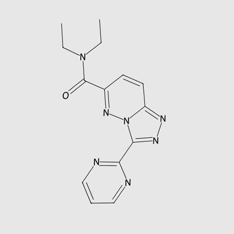 CCN(CC)C(=O)c1ccc2nnc(-c3ncccn3)n2n1